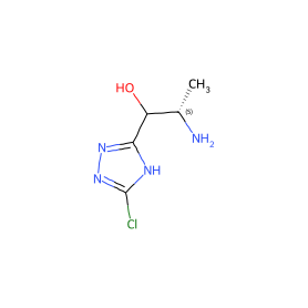 C[C@H](N)C(O)c1nnc(Cl)[nH]1